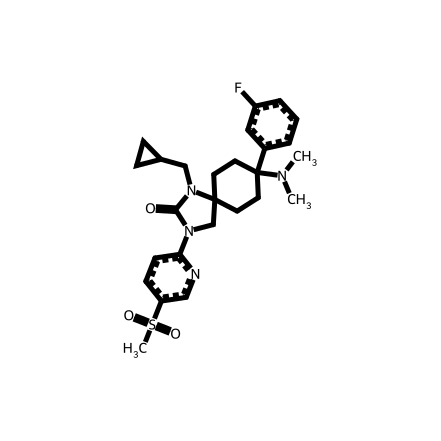 CN(C)C1(c2cccc(F)c2)CCC2(CC1)CN(c1ccc(S(C)(=O)=O)cn1)C(=O)N2CC1CC1